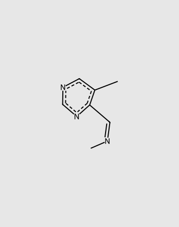 C/N=C\c1ncncc1C